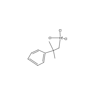 CC(C)([CH2][Hf]([Cl])([Cl])[Cl])c1ccccc1